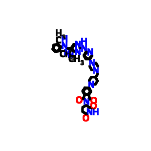 Cc1cccc(C)c1Nc1nn(C)c2nc(Nc3ccc(N4CCN(CC5CCN(c6ccc7c(c6)C(=O)N(C6CCC(=O)NC6=O)C7=O)CC5)CC4)cn3)ncc12